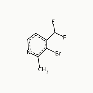 Cc1nccc(C(F)F)c1Br